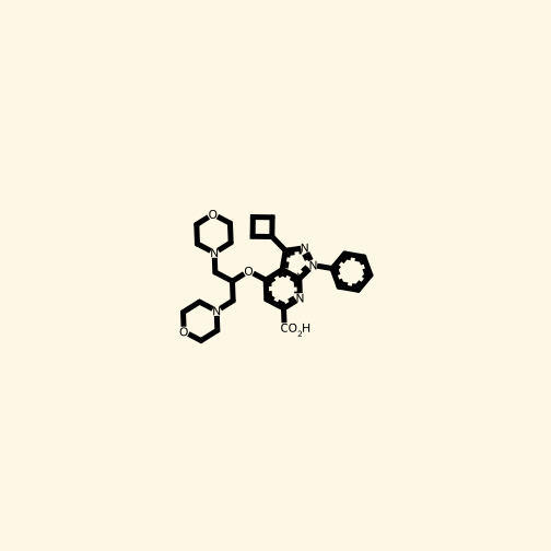 O=C(O)c1cc(OC(CN2CCOCC2)CN2CCOCC2)c2c(C3CCC3)nn(-c3ccccc3)c2n1